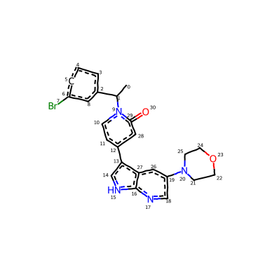 CC(c1cccc(Br)c1)n1ccc(-c2c[nH]c3ncc(N4CCOCC4)cc23)cc1=O